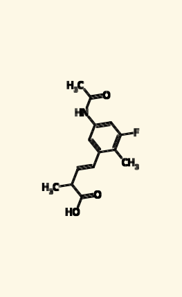 CC(=O)Nc1cc(F)c(C)c(C=CC(C)C(=O)O)c1